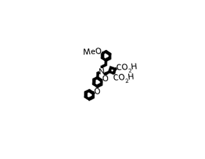 COc1cccc(CCN(Cc2ccc(Oc3ccccc3)cc2)C(=O)C2CC(C(=O)O)C2C(=O)O)c1